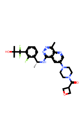 Cc1nnc(N[C@H](C)c2cccc(C(F)(F)C(C)(C)O)c2F)c2cc(N3CCN(C(=O)C4COC4)CC3)cnc12